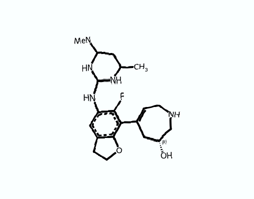 CNC1CC(C)NC(Nc2cc3c(c(C4=CCNC[C@H](O)C4)c2F)OCC3)N1